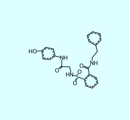 O=C(CNS(=O)(=O)c1ccccc1C(=O)NCCc1ccccc1)Nc1ccc(O)cc1